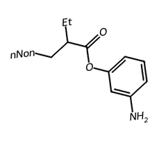 CCCCCCCCCCC(CC)C(=O)Oc1cccc(N)c1